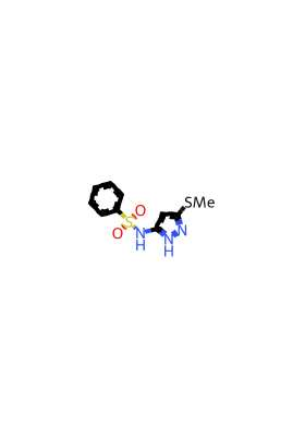 CSc1cc(NS(=O)(=O)c2ccccc2)[nH]n1